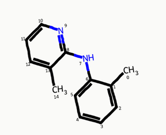 Cc1ccccc1Nc1ncccc1C